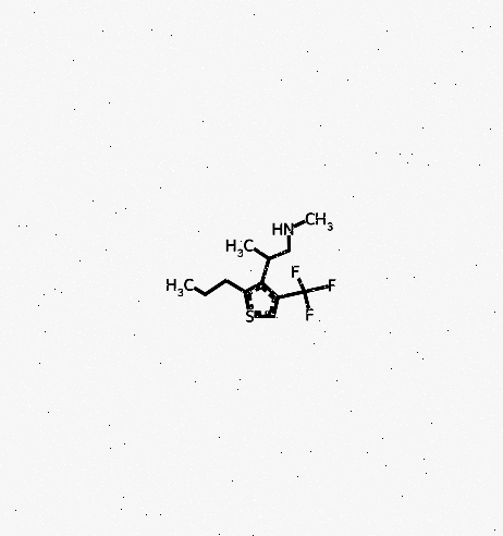 CCCc1scc(C(F)(F)F)c1C(C)CNC